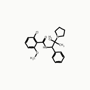 COc1cccc(Cl)c1C(=O)NC(c1ccccc1)C(C)(C)N1CCCC1